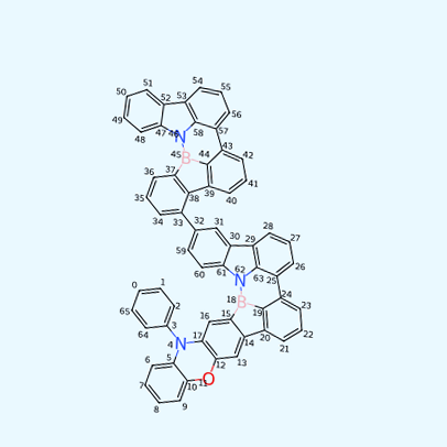 c1ccc(N2c3ccccc3Oc3cc4c(cc32)B2c3c-4cccc3-c3cccc4c5cc(-c6cccc7c6-c6cccc8c6B7n6c7ccccc7c7cccc-8c76)ccc5n2c34)cc1